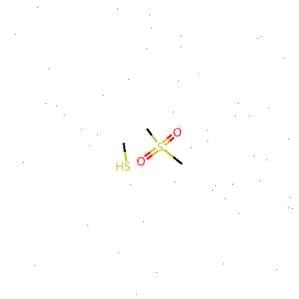 CS.CS(C)(=O)=O